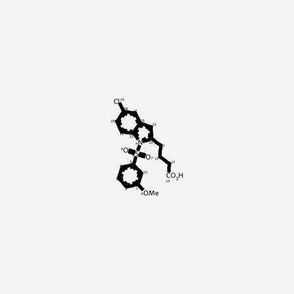 COc1cccc(S(=O)(=O)n2c(CCCC(=O)O)cc3cc(Cl)ccc32)c1